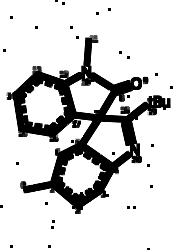 Cc1ccc2c(c1)C1(C(=O)N(C)c3ccccc31)C(C(C)(C)C)=N2